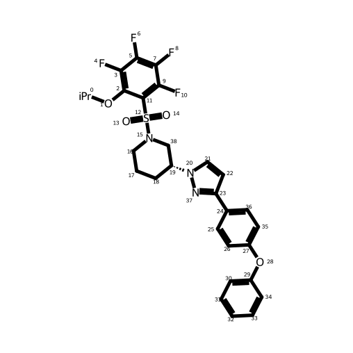 CC(C)Oc1c(F)c(F)c(F)c(F)c1S(=O)(=O)N1CCC[C@@H](n2ccc(-c3ccc(Oc4ccccc4)cc3)n2)C1